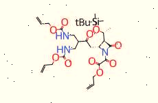 C=CCOC(=O)NCC(CNC(=O)OCC=C)C(=O)C[C@@H]1[C@@H]([C@@H](C)O[Si](C)(C)C(C)(C)C)C(=O)N1C(=O)C(=O)OCC=C